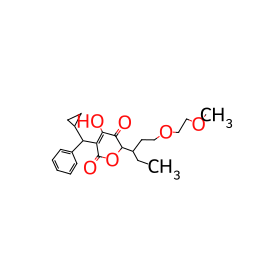 CCC(CCOCCOC)C1OC(=O)C(C(c2ccccc2)C2CC2)=C(O)C1=O